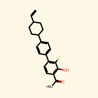 C=CC1CCC(c2ccc(-c3ccc(C(=O)CCCC)c(O)c3F)cc2)CC1